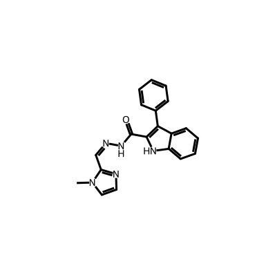 Cn1ccnc1/C=N\NC(=O)c1[nH]c2ccccc2c1-c1ccccc1